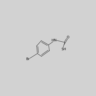 O=C(S)Nc1ccc(Br)cc1